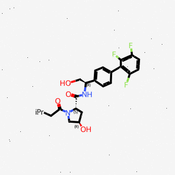 CC(C)CC(=O)N1C[C@H](O)C[C@H]1C(=O)N[C@@H](CO)c1ccc(-c2c(F)ccc(F)c2F)cc1